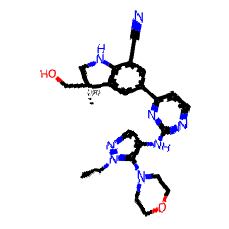 CCn1ncc(Nc2nccc(-c3cc(C#N)c4c(c3)[C@@](C)(CO)CN4)n2)c1N1CCOCC1